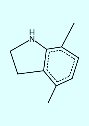 Cc1ccc(C)c2c1CCN2